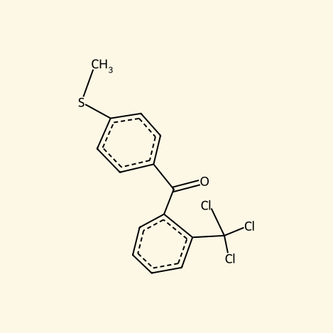 CSc1ccc(C(=O)c2ccccc2C(Cl)(Cl)Cl)cc1